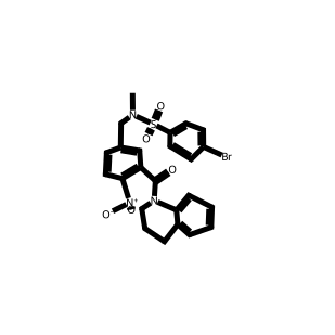 CN(Cc1ccc([N+](=O)[O-])c(C(=O)N2CCCc3ccccc32)c1)S(=O)(=O)c1ccc(Br)cc1